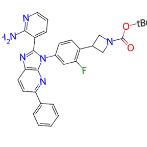 CC(C)(C)OC(=O)N1CC(c2ccc(-n3c(-c4cccnc4N)nc4ccc(-c5ccccc5)nc43)cc2F)C1